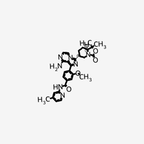 COc1cc(C(=O)Nc2cc(C)ccn2)ccc1-c1nc([C@@H]2CC[C@@H]3N(C2)C(=O)OC3(C)C)n2ccnc(N)c12